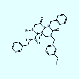 CCN1CC(=O)N2[C@@H](Cc3ccccc3)C(=O)N(Cc3cccc(CI)c3)C[C@@H]2N1C(=O)NCc1ccccc1